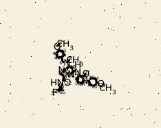 COc1ccc(CN(C)c2cc(Nc3cccn(C4CCC(OC)CC4)c3=O)nn3c(C(=O)N[C@@H]4C[C@@H]4F)cnc23)cc1